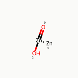 [O]=[Zn][OH].[Zn]